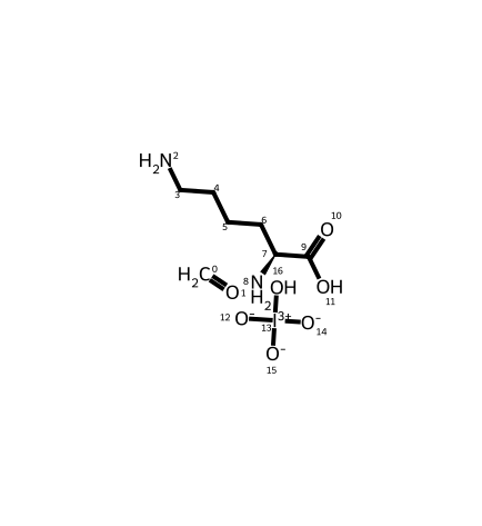 C=O.NCCCC[C@H](N)C(=O)O.[O-][I+3]([O-])([O-])O